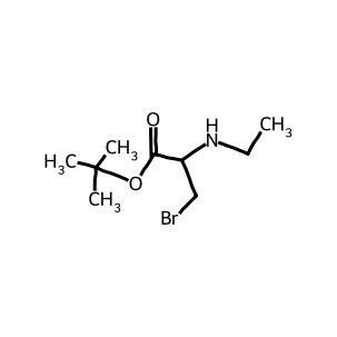 CCNC(CBr)C(=O)OC(C)(C)C